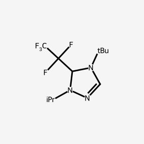 CC(C)N1N=CN(C(C)(C)C)C1C(F)(F)C(F)(F)F